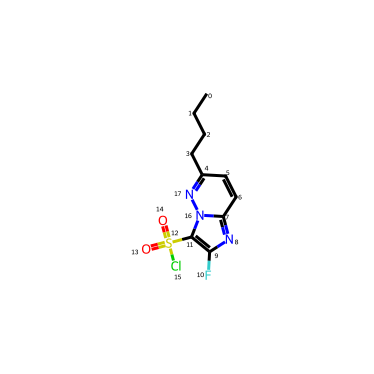 CCCCc1ccc2nc(F)c(S(=O)(=O)Cl)n2n1